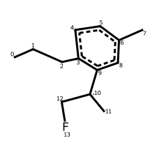 CCCc1ccc(C)cc1[C](C)CF